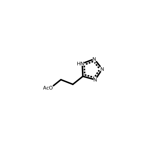 CC(=O)OCCc1nnn[nH]1